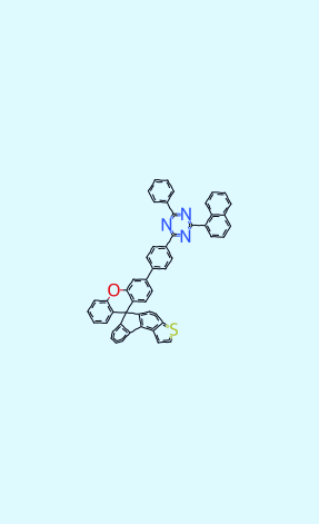 c1ccc(-c2nc(-c3ccc(-c4ccc5c(c4)Oc4ccccc4C54c5ccccc5-c5c4ccc4sccc54)cc3)nc(-c3cccc4ccccc34)n2)cc1